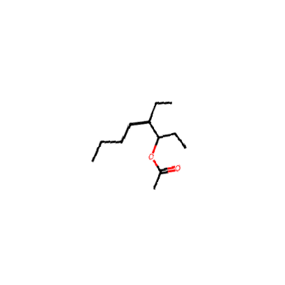 CCCCC(CC)C(CC)OC(C)=O